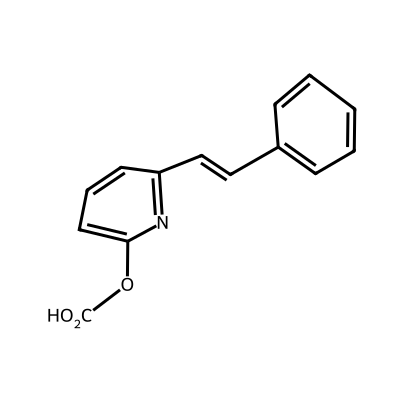 O=C(O)Oc1cccc(C=Cc2ccccc2)n1